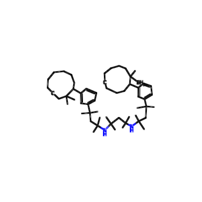 BC1(C)CCCCCCCCC1c1cccc(C(C)(C)CC(C)(C)NC(C)(C)CC(C)(C)NC(C)(C)CC(C)(C)c2cccc(C3CCCCCCCCC3(C)C)c2)c1